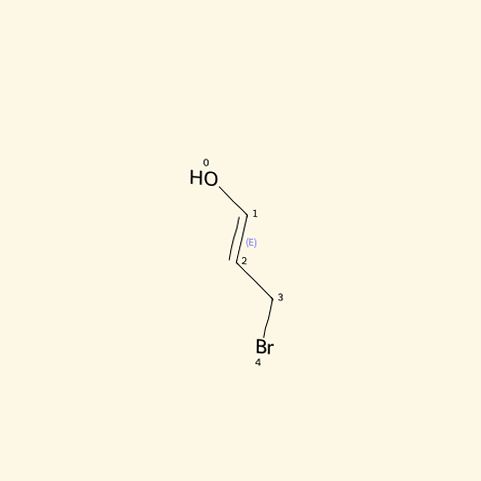 O/C=C/CBr